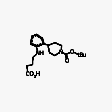 CC(C)(C)OC(=O)N1CCC(c2ccccc2NCCCC(=O)O)CC1